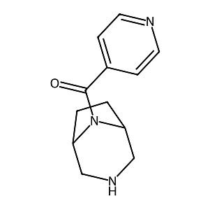 O=C(c1ccncc1)N1C2CCC1CNC2